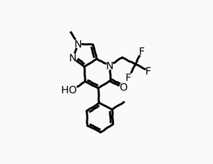 Cc1ccccc1-c1c(O)c2nn(C)cc2n(CC(F)(F)F)c1=O